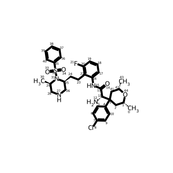 C[C@@H]1CC(c2ccc(Cl)cc2)([C@H](N)C(=O)Nc2cccc(F)c2CC[C@H]2CNC[C@@H](C)N2S(=O)(=O)c2ccccc2)C[C@H](C)O1